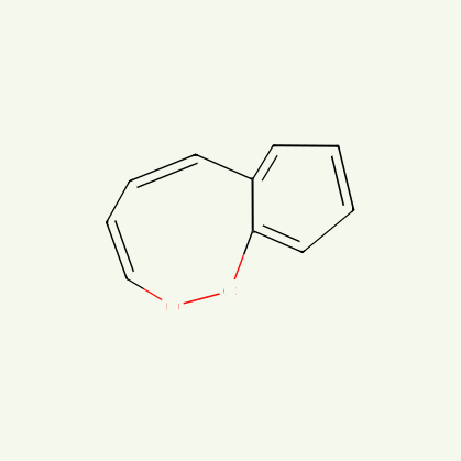 c1ccc2ccccc2ooc1